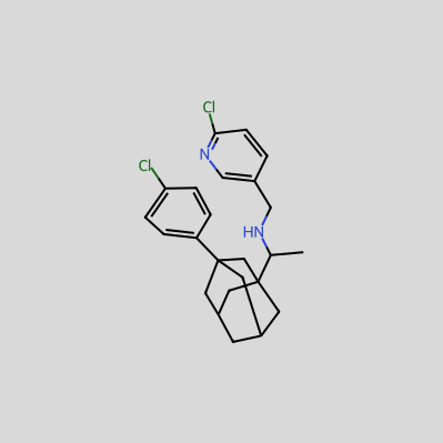 CC(NCc1ccc(Cl)nc1)C12CC3CC(CC(c4ccc(Cl)cc4)(C3)C1)C2